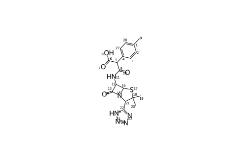 Cc1ccc(C(C(=O)O)C(=O)NC2C(=O)N3C2SC(C)(C)C3c2nnn[nH]2)cc1